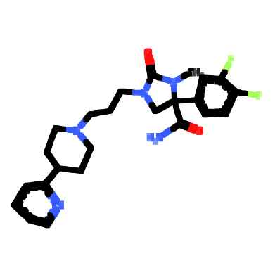 CN1C(=O)N(CCCN2CCC(c3ccccn3)CC2)CC1(C(N)=O)c1ccc(F)c(F)c1